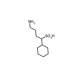 NCCCC(C1CCCCC1)S(=O)(=O)O